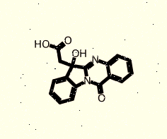 O=C(O)CC1(O)c2ccccc2-n2c1nc1ccccc1c2=O